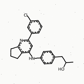 CC(O)Cc1ccc(Nc2cc(-c3cccc(Cl)c3)nc3c2CCC3)cc1